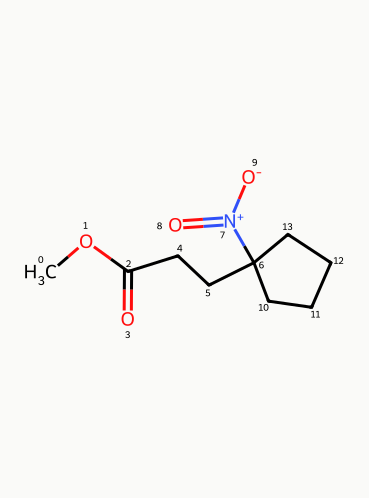 COC(=O)CCC1([N+](=O)[O-])CCCC1